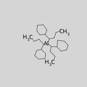 CCC[CH](C1CCCCC1)[Al]([CH](CCC)C1CCCCC1)[CH](CCC)C1CCCCC1